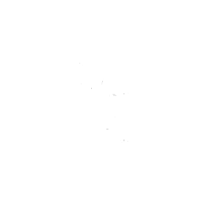 COC(=O)CCC(=O)c1ccc(N)c(F)c1